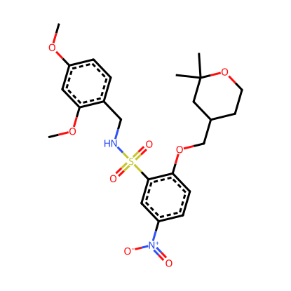 COc1ccc(CNS(=O)(=O)c2cc([N+](=O)[O-])ccc2OCC2CCOC(C)(C)C2)c(OC)c1